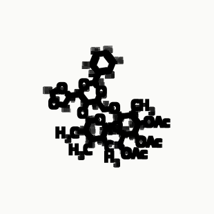 CC[C@H]1O[C@@H](OC2[C@H](CO[C@@H]3O[C@H](COC(C)=O)[C@@H](OC(C)=O)[C@H](OC(C)=O)[C@H]3C)OC(c3ccccc3)O[C@@H]2[C@H]2COCO2)[C@H](C)[C@@H](C)[C@@H]1C